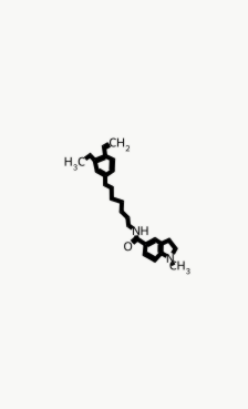 C=Cc1ccc(CCCCCCCNC(=O)c2ccc3c(c2)CCN3C)cc1CC